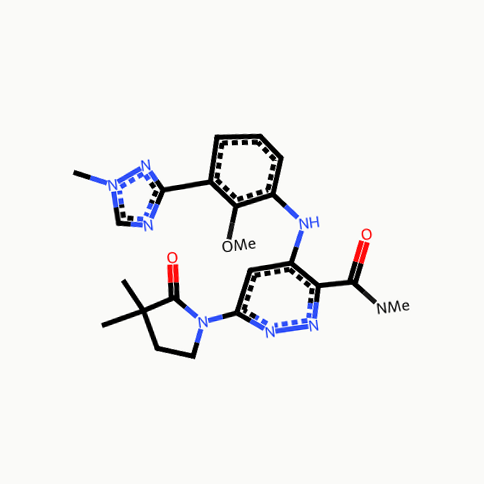 CNC(=O)c1nnc(N2CCC(C)(C)C2=O)cc1Nc1cccc(-c2ncn(C)n2)c1OC